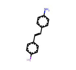 Nc1ccc(/C=C/c2ccc([125I])cc2)cc1